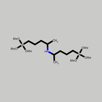 CO[Si](CCCC(C)NC(C)CCC[Si](OC)(OC)OC)(OC)OC